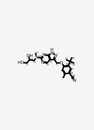 Cc1cc(OCc2n[nH]c3nc(N(C)CC(O)CO)ncc23)c(C(C)(C)C)cc1C#N